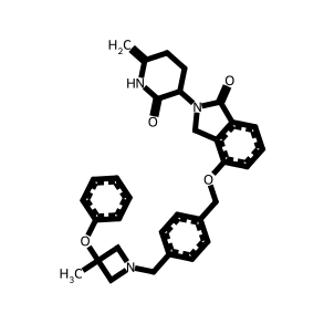 C=C1CCC(N2Cc3c(OCc4ccc(CN5CC(C)(Oc6ccccc6)C5)cc4)cccc3C2=O)C(=O)N1